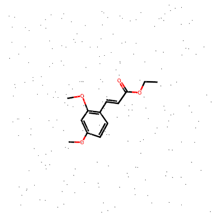 CCOC(=O)/C=C/c1ccc(OC)cc1OC